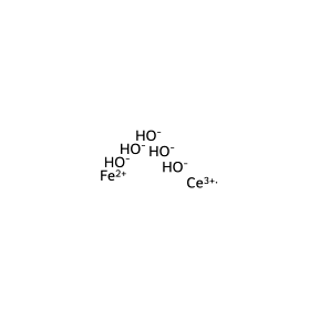 [Ce+3].[Fe+2].[OH-].[OH-].[OH-].[OH-].[OH-]